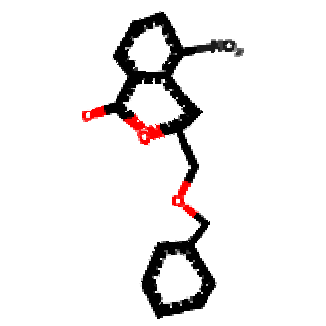 O=c1oc(COCc2ccccc2)cc2c([N+](=O)[O-])cccc12